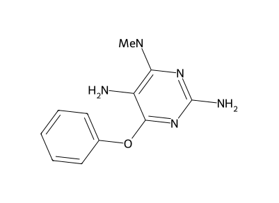 CNc1nc(N)nc(Oc2ccccc2)c1N